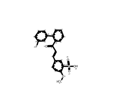 COc1ccc(C=CC(=O)c2ccccc2-c2cccc(F)c2)cc1S(=O)(=O)O